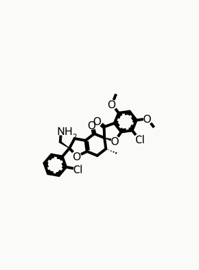 COc1cc(OC)c2c(c1Cl)O[C@@]1(C(=O)C3=C(C[C@H]1C)O[C@](CN)(c1ccccc1Cl)C3)C2=O